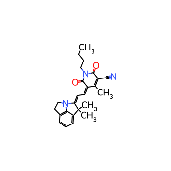 CCCCN1C(=O)C(C#N)=C(C)/C(=C/C=C2/N3CCc4cccc(c43)C2(C)C)C1=O